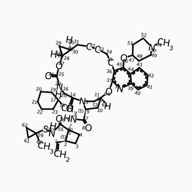 C=C[C@@H]1CC[C@]1(NC(=O)[C@@H]1C[C@@H]2CN1C(=O)[C@H](C1(C)CCCCC1)NC(=O)O[C@@H]1C[C@H]1CCCCCc1c(nc3ccccc3c1OC1CCN(C)CC1)O2)C(=O)NSC1(C)CC1